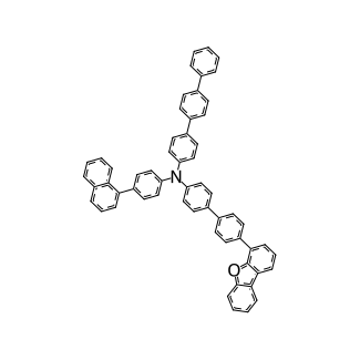 c1ccc(-c2ccc(-c3ccc(N(c4ccc(-c5ccc(-c6cccc7c6oc6ccccc67)cc5)cc4)c4ccc(-c5cccc6ccccc56)cc4)cc3)cc2)cc1